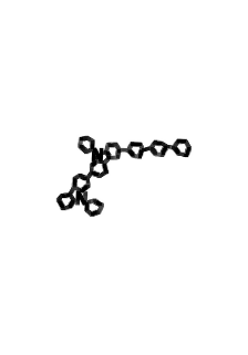 c1ccc(-c2ccc(-c3ccc(-c4ccc5c(c4)c4ccc(-c6ccc7c8ccccc8n(-c8ccccc8)c7c6)cc4n5-c4ccccc4)cc3)cc2)cc1